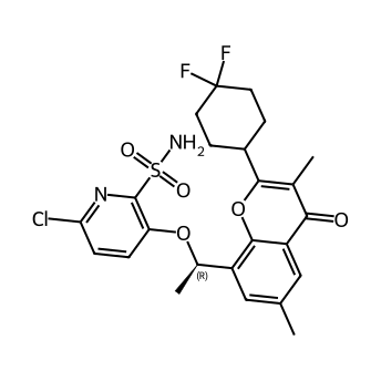 Cc1cc([C@@H](C)Oc2ccc(Cl)nc2S(N)(=O)=O)c2oc(C3CCC(F)(F)CC3)c(C)c(=O)c2c1